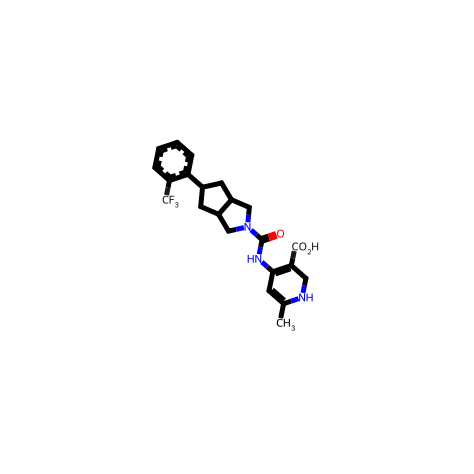 CC1=CC(NC(=O)N2CC3CC(c4ccccc4C(F)(F)F)CC3C2)=C(C(=O)O)CN1